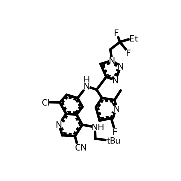 CCC(F)(F)Cn1cc(C(Nc2cc(Cl)c3ncc(C#N)c(NCC(C)(C)C)c3c2)c2ccc(F)nc2C)nn1